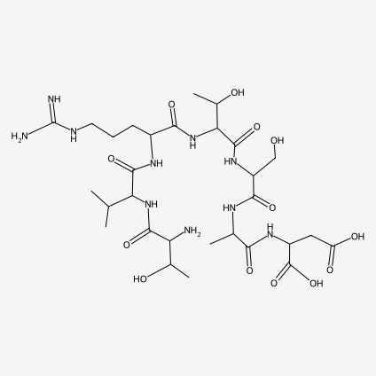 CC(NC(=O)C(CO)NC(=O)C(NC(=O)C(CCCNC(=N)N)NC(=O)C(NC(=O)C(N)C(C)O)C(C)C)C(C)O)C(=O)NC(CC(=O)O)C(=O)O